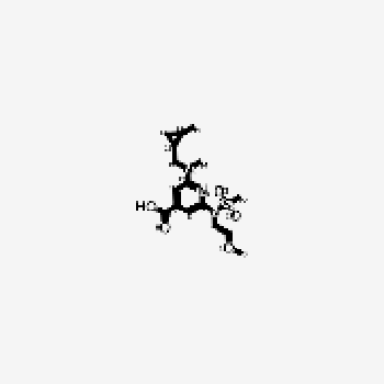 COCCN(c1cc(C(=O)O)cc(N(C)CC2CC2C)n1)S(C)(=O)=O